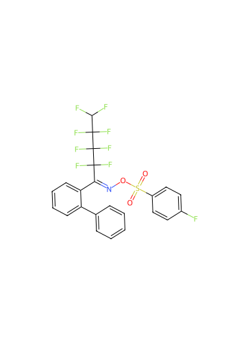 O=S(=O)(ON=C(c1ccccc1-c1ccccc1)C(F)(F)C(F)(F)C(F)(F)C(F)F)c1ccc(F)cc1